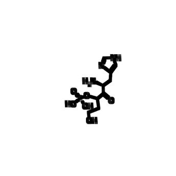 N[C@@H](Cc1c[nH]cn1)C(=O)C(CCO)OP(=O)(O)O